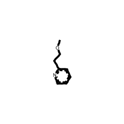 COCCc1ccc[c]n1